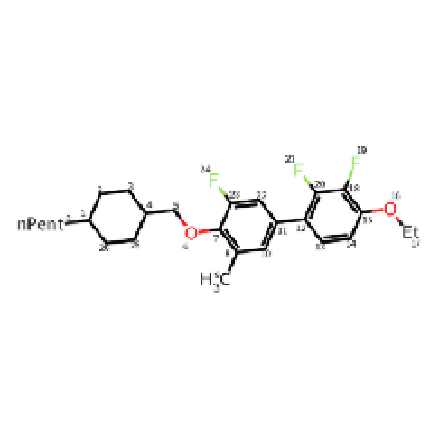 CCCCCC1CCC(COc2c(C)cc(-c3ccc(OCC)c(F)c3F)cc2F)CC1